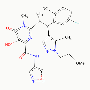 COCCn1ncc([C@H](c2cc(F)ccc2C#N)[C@@H](C)c2nc(C(=O)Nc3cnoc3)c(O)c(=O)n2C)c1C